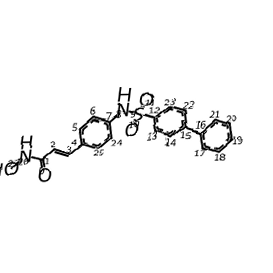 O=C(/C=C/c1ccc(NS(=O)(=O)c2ccc(-c3ccccc3)cc2)cc1)NO